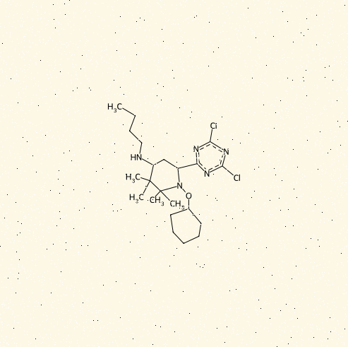 CCCCNC1CC(c2nc(Cl)nc(Cl)n2)N(OC2CCCCC2)C(C)(C)C1(C)C